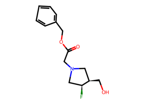 O=C(CN1C[C@@H](CO)[C@@H](F)C1)OCc1ccccc1